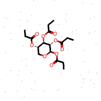 CCC(=O)OC1OC[C@H](OC(=O)CC)[C@@H](OC(=O)CC)[C@@H]1OC(=O)CC